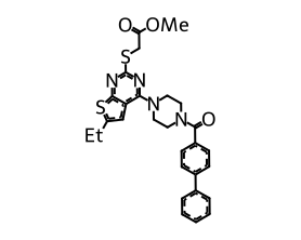 CCc1cc2c(N3CCN(C(=O)c4ccc(-c5ccccc5)cc4)CC3)nc(SCC(=O)OC)nc2s1